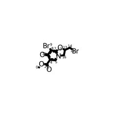 COC(=O)c1cn2c(c(Br)c1=O)OC(CBr)C2